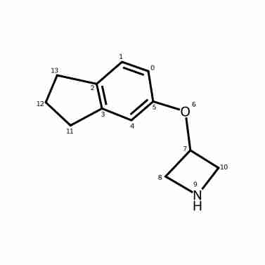 c1cc2c(cc1OC1CNC1)CCC2